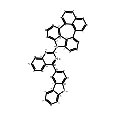 c1cc2c3c(cccc3c1)-c1cccc3c1c1c-2cccc1n3-c1nc(-c2ccc3sc4ccccc4c3c2)c2ccccc2n1